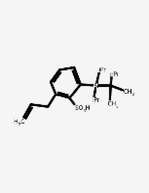 C=CCc1cccc([Si](C(C)C)(C(C)C)C(C)(C)CCC)c1S(=O)(=O)O